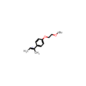 C/C=C(\C)c1ccc(OCCOCCCC)cc1